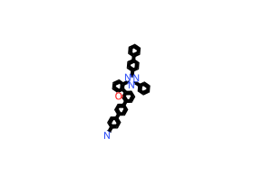 N#Cc1ccc(-c2ccc(-c3cccc4c3oc3cccc(-c5nc(-c6ccccc6)nc(-c6ccc(-c7ccccc7)cc6)n5)c34)cc2)cc1